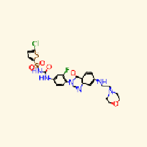 O=C(Nc1ccc(-n2cnc3cc(NCCN4CCOCC4)ccc3c2=O)c(F)c1)NS(=O)(=O)c1ccc(Cl)s1